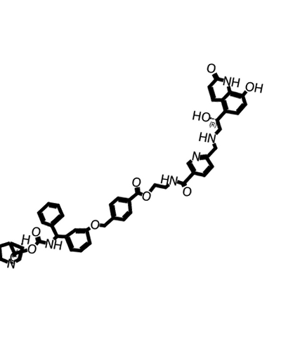 O=C(NC(c1ccccc1)c1cccc(OCc2ccc(C(=O)OCCNC(=O)c3ccc(CNC[C@H](O)c4ccc(O)c5[nH]c(=O)ccc45)nc3)cc2)c1)O[C@H]1CN2CCC1CC2